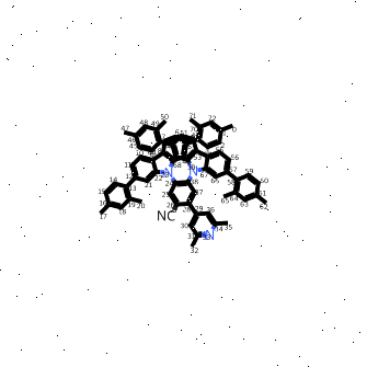 Cc1ccc(-c2ccc3c4ccc(-c5ccc(C)cc5C)cc4n(-c4cc(C#N)c(-c5cc(C)nc(C)c5)cc4-n4c5cc(-c6ccc(C)cc6C)ccc5c5ccc(-c6ccc(C)cc6C)cc54)c3c2)c(C)c1